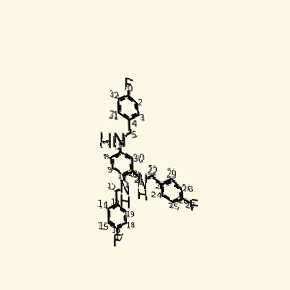 Fc1ccc(CNc2ccc(NCc3ccc(F)cc3)c(NCc3ccc(F)cc3)c2)cc1